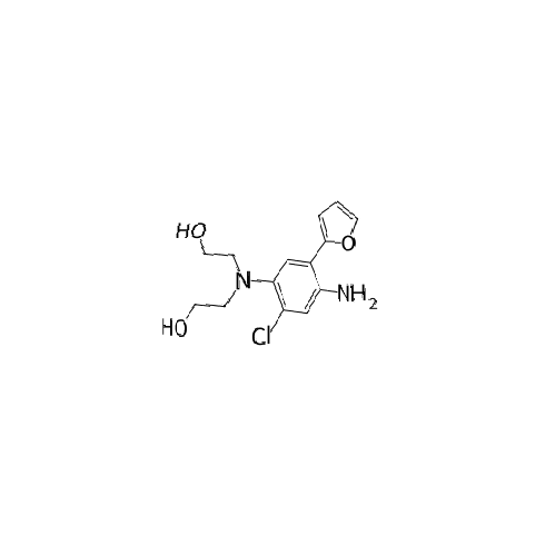 Nc1cc(Cl)c(N(CCO)CCO)cc1-c1ccco1